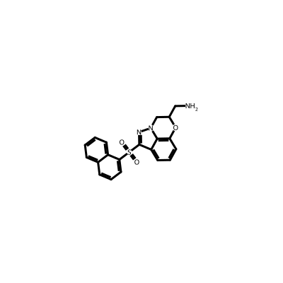 NCC1Cn2nc(S(=O)(=O)c3cccc4ccccc34)c3cccc(c32)O1